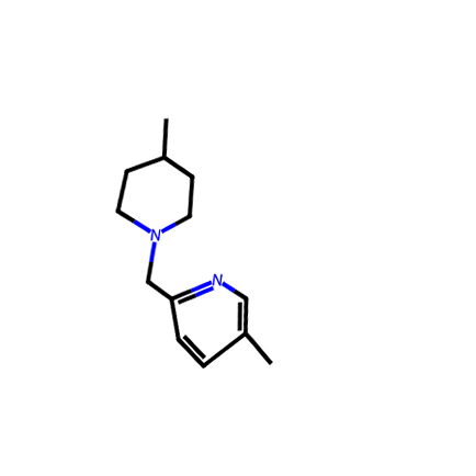 Cc1ccc(CN2CCC(C)CC2)nc1